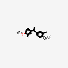 CC(=O)Oc1ccc(C(C)c2ccc(OC(C)(C)C)c(C)c2)cc1C